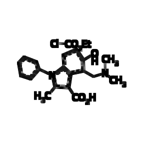 CCOC(=O)Cl.Cc1c(C(=O)O)c2c(CN(C)C)c(O)ccc2n1-c1ccccc1